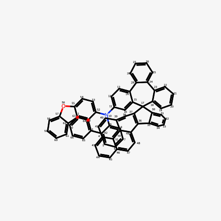 c1ccc(-c2ccccc2N(c2ccc3c(c2)C2(c4ccccc4-c4ccccc4-3)c3ccccc3-c3c2cc2ccc4cccc5ccc3c2c45)c2ccc3oc4ccccc4c3c2)cc1